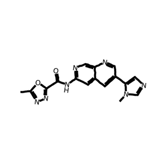 Cc1nnc(C(=O)Nc2cc3cc(-c4cncn4C)cnc3cn2)o1